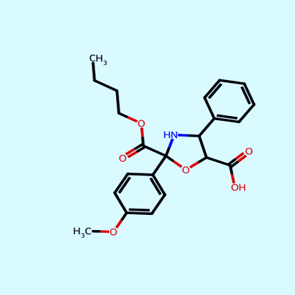 CCCCOC(=O)C1(c2ccc(OC)cc2)NC(c2ccccc2)C(C(=O)O)O1